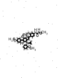 CONC(=O)Nc1ccc(-c2cc3c(N(c4c(F)cccc4OC)C4CC4)cc(-c4ccc(OC)cc4F)c(OC)c3[nH]2)c(F)c1